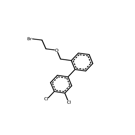 Clc1ccc(-c2ccccc2COCCBr)cc1Cl